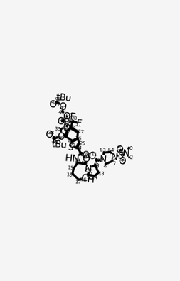 CN(C)S(=O)(=O)N1CCN(C(=O)[C@@H]2CC[C@@H]3CCCCC(NC(=O)c4cc5cc(C(F)(F)P(=O)(OCOC(=O)C(C)(C)C)OCOC(=O)C(C)(C)C)ccc5s4)C(=O)N32)CC1